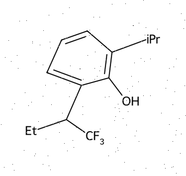 CCC(c1cccc(C(C)C)c1O)C(F)(F)F